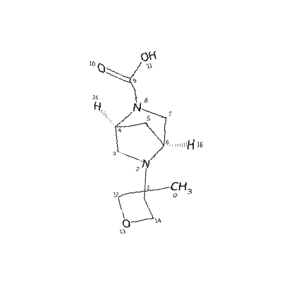 CC1(N2C[C@@H]3C[C@H]2CN3C(=O)O)COC1